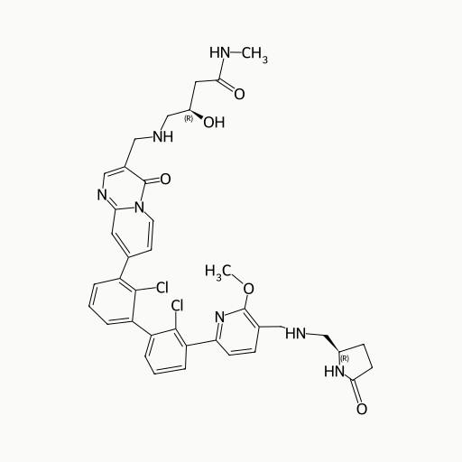 CNC(=O)C[C@@H](O)CNCc1cnc2cc(-c3cccc(-c4cccc(-c5ccc(CNC[C@H]6CCC(=O)N6)c(OC)n5)c4Cl)c3Cl)ccn2c1=O